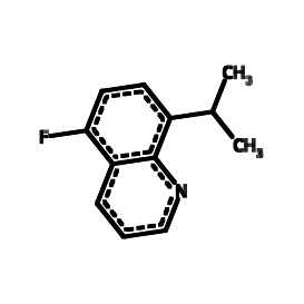 CC(C)c1ccc(F)c2cccnc12